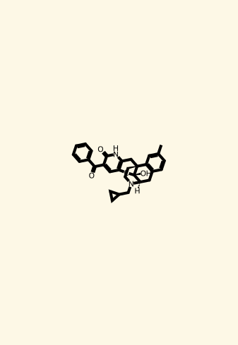 Cc1ccc2c(c1)[C@]13CCN(CC4CC4)[C@H](C2)[C@]1(O)Cc1cc(C(=O)c2ccccc2)c(=O)[nH]c1C3